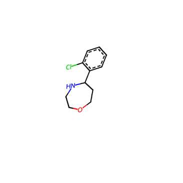 Clc1ccccc1C1CCOCCN1